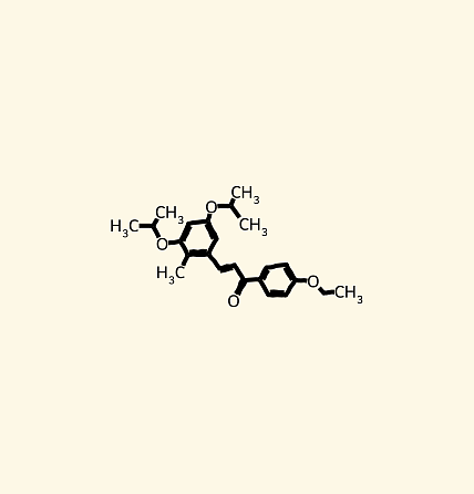 CCOc1ccc(C(=O)C=Cc2cc(OC(C)C)cc(OC(C)C)c2C)cc1